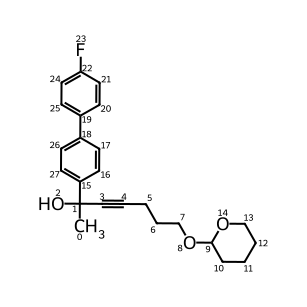 CC(O)(C#CCCCOC1CCCCO1)c1ccc(-c2ccc(F)cc2)cc1